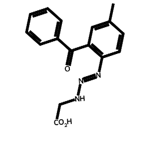 Cc1ccc(N=NNCC(=O)O)c(C(=O)c2ccccc2)c1